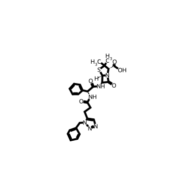 CC1(C)S[C@@H]2[C@H](NC(=O)[C@H](NC(=O)CCc3cnnn3Cc3ccccc3)c3ccccc3)C(=O)N2[C@H]1C(=O)O